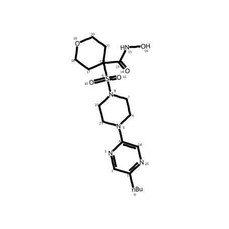 CCCCc1cnc(N2CCN(S(=O)(=O)C3(C(=O)NO)CCOCC3)CC2)cn1